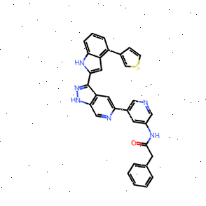 O=C(Cc1ccccc1)Nc1cncc(-c2cc3c(-c4cc5c(-c6ccsc6)cccc5[nH]4)n[nH]c3cn2)c1